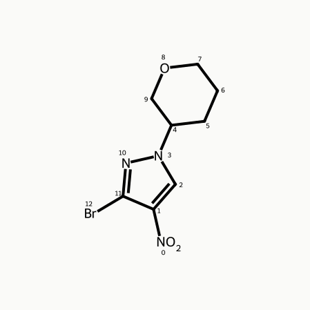 O=[N+]([O-])c1cn(C2CCCOC2)nc1Br